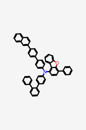 c1ccc(-c2ccccc2-c2ccc(N(c3ccc(-c4ccc(-c5ccc6ccccc6c5)cc4)cc3)c3ccc(-c4ccccc4)c4oc5ccccc5c34)cc2)cc1